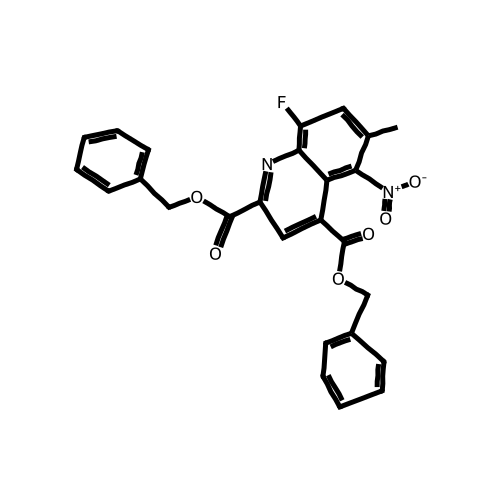 Cc1cc(F)c2nc(C(=O)OCc3ccccc3)cc(C(=O)OCc3ccccc3)c2c1[N+](=O)[O-]